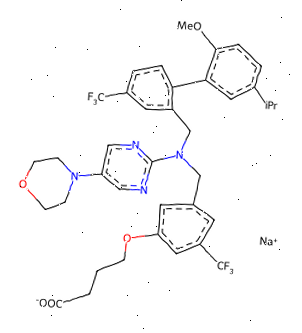 COc1ccc(C(C)C)cc1-c1ccc(C(F)(F)F)cc1CN(Cc1cc(OCCCC(=O)[O-])cc(C(F)(F)F)c1)c1ncc(N2CCOCC2)cn1.[Na+]